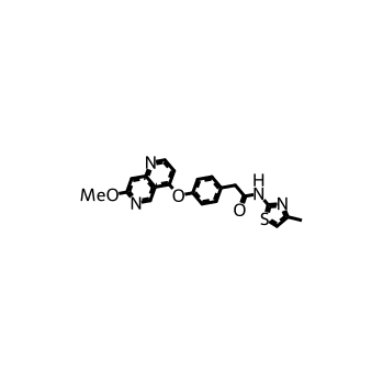 COc1cc2nccc(Oc3ccc(CC(=O)Nc4nc(C)cs4)cc3)c2cn1